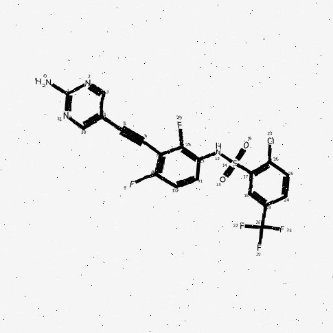 Nc1ncc(C#Cc2c(F)ccc(NS(=O)(=O)c3cc(C(F)(F)F)ccc3Cl)c2F)cn1